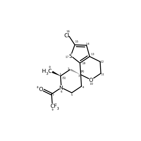 C[C@H]1C[C@@]2(CCN1C(=O)C(F)(F)F)OCCc1cc(Cl)sc12